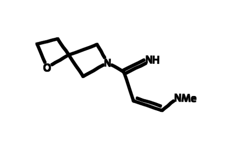 CN/C=C\C(=N)N1CC2(CCO2)C1